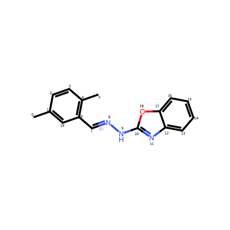 Cc1ccc(C)c(/C=N/Nc2nc3ccccc3o2)c1